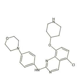 Clc1ccc(OC2CCNCC2)c2nc(Nc3ccc(N4CCOCC4)cc3)ncc12